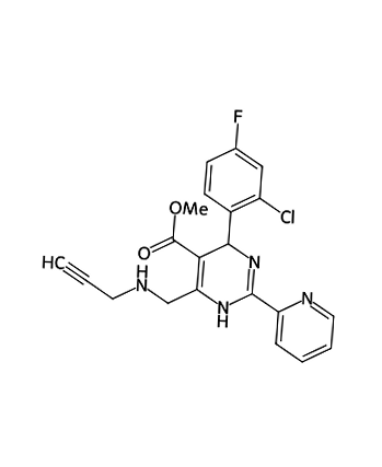 C#CCNCC1=C(C(=O)OC)C(c2ccc(F)cc2Cl)N=C(c2ccccn2)N1